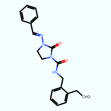 O=[C]Cc1ccccc1CNC(=O)N1CCN(/N=C/c2ccccc2)C1=O